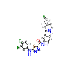 O=C(Nc1ccc(CN2CCC3(CC2)CC(F)C3)cc1)c1nnc(Nc2ccc(F)c(F)c2)s1